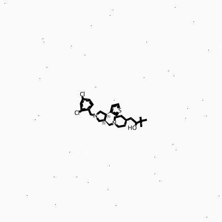 CC(C)(C)C(O)CC1CCN(C[C@H]2CN(Cc3ccc(Cl)cc3Cl)C[C@@H]2c2ccsc2)CC1